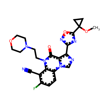 COC1(c2nc(-c3ncn4c3c(=O)n(CCN3CCOCC3)c3c(C#N)c(F)ccc34)no2)CC1